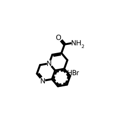 Br.NC(=O)C1=CN2CC=Nc3cccc(c32)C1